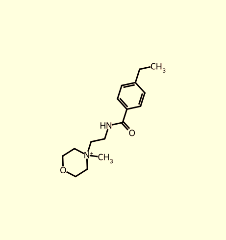 CCc1ccc(C(=O)NCC[N+]2(C)CCOCC2)cc1